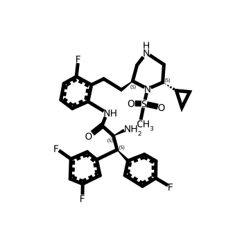 CS(=O)(=O)N1[C@@H](CCc2c(F)cccc2NC(=O)[C@@H](N)[C@@H](c2ccc(F)cc2)c2cc(F)cc(F)c2)CNC[C@@H]1C1CC1